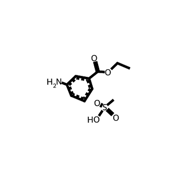 CCOC(=O)c1cccc(N)c1.CS(=O)(=O)O